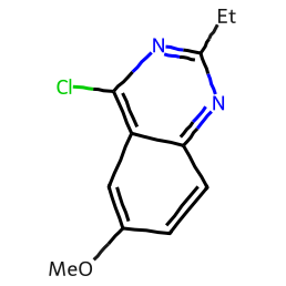 CCc1nc(Cl)c2cc(OC)ccc2n1